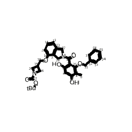 Cc1c(O)cc(O)c(C(=O)N2Cc3cccc(OCC4CN(C(=O)OC(C)(C)C)C4)c3C2)c1OCc1ccccc1